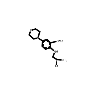 CC[C@H](N)CNc1ccc(N2CCSCC2)cc1OC